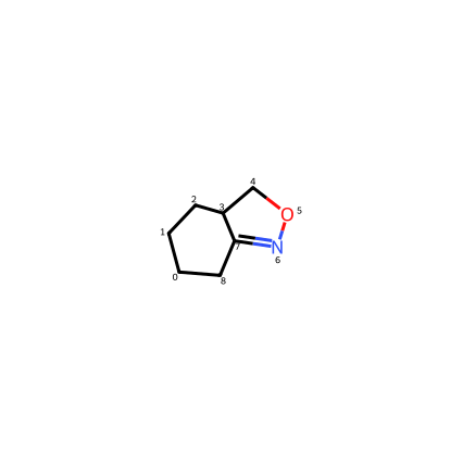 C1CCC2CON=C2C1